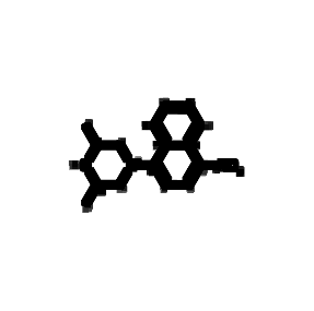 CC1CN(c2ccc([N+](=O)[O-])c3ccccc23)CC(C)O1